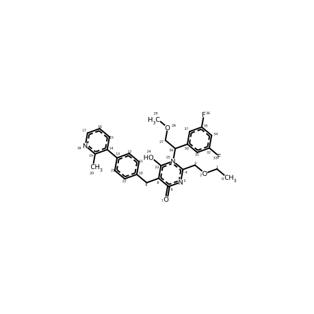 CCOCc1nc(=O)c(Cc2ccc(-c3cccnc3C)cc2)c(O)n1C(COC)c1cc(F)cc(F)c1